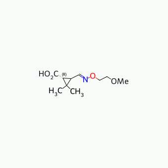 COCCON=CC1[C@@H](C(=O)O)C1(C)C